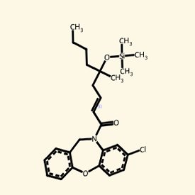 CCCCC(C)(C/C=C/C(=O)N1Cc2ccccc2Oc2ccc(Cl)cc21)O[Si](C)(C)C